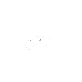 C[C@@H]1Cc2c([nH]c3ccccc23)CN1